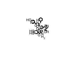 CC(C)(O)c1cnnn1[C@H]1C[C@@H](C(=O)NC2(C(=O)C(N)=O)CCS(O)(O)CC2)N(C(=O)[C@@H](CC2CCCCC2)NC(=O)c2ccc(O)nc2)C1